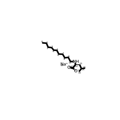 CCCCCCCCCCCN[C@@H](CC(C)C)C(=O)[O-].[Na+]